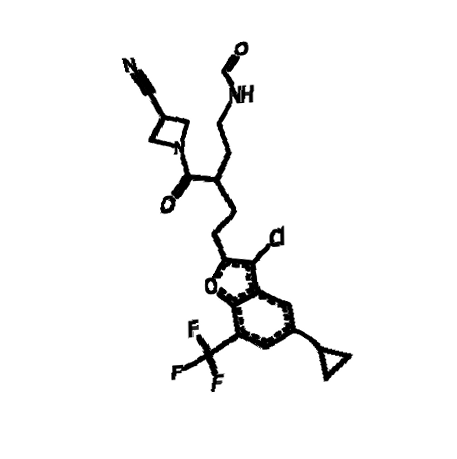 N#CC1CN(C(=O)C(CCNC=O)CCc2oc3c(C(F)(F)F)cc(C4CC4)cc3c2Cl)C1